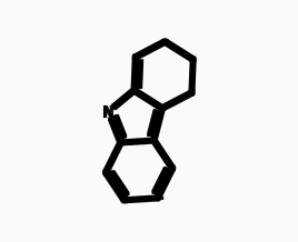 [c]1ccc2c(c1)=C1CCCC=C1N=2